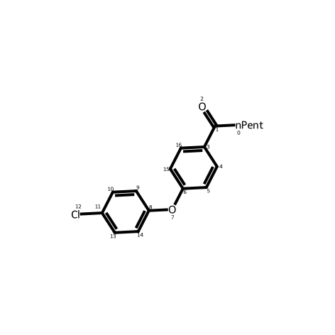 CCCCCC(=O)c1ccc(Oc2ccc(Cl)cc2)cc1